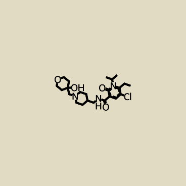 CCc1c(Cl)cc(C(=O)NCC2CCN(CC3(O)CCOCC3)CC2)c(=O)n1C(C)C